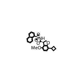 COc1ccc(C2CCC2)c2c1[C@@H](C(=O)NS(=O)(=O)c1cccc3ccccc13)CO2